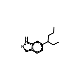 CCCC(CC)c1ccc2cn[nH]c2c1